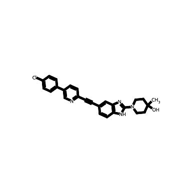 CC1(O)CCN(c2nc3cc(C#Cc4ccc(-c5ccc(Cl)cc5)cn4)ccc3[nH]2)CC1